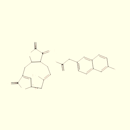 C=C1C(=O)OC2CC3=C[C@@H](C/C(C)=C/[C@@H](OC(=O)Cc4ccc5cc(C)ccc5c4)[C@H]12)OC3=O